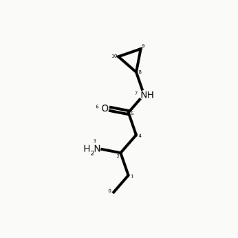 CCC(N)CC(=O)NC1CC1